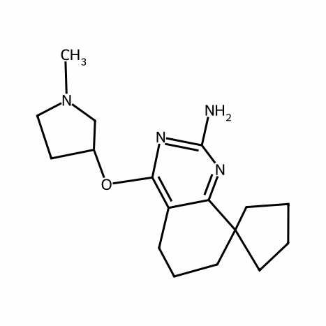 CN1CCC(Oc2nc(N)nc3c2CCCC32CCCC2)C1